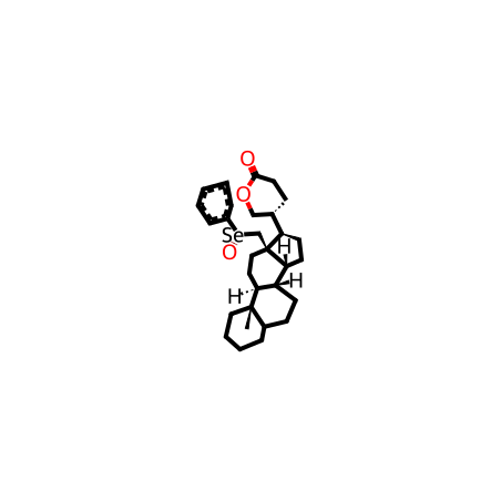 C[C@]12CCCCC1CC[C@H]1[C@H]3CC[C@H]([C@H]4CCC(=O)OC4)[C@@]3(C[Se](=O)c3ccccc3)CC[C@@H]12